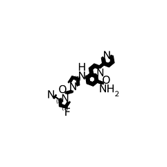 N#C[C@@H]1C[C@H](F)CN1C(=O)CN1CC[C@H](Nc2ccc(C(N)=O)c3nc(-c4cccnc4)ccc23)C1